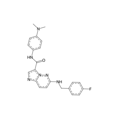 CN(C)c1ccc(NC(=O)c2cnc3ccc(NCc4ccc(F)cc4)nn23)cc1